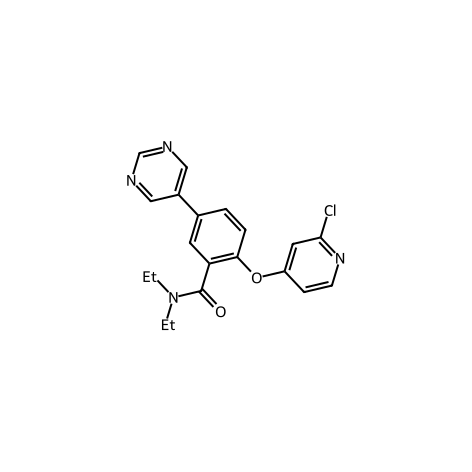 CCN(CC)C(=O)c1cc(-c2cncnc2)ccc1Oc1ccnc(Cl)c1